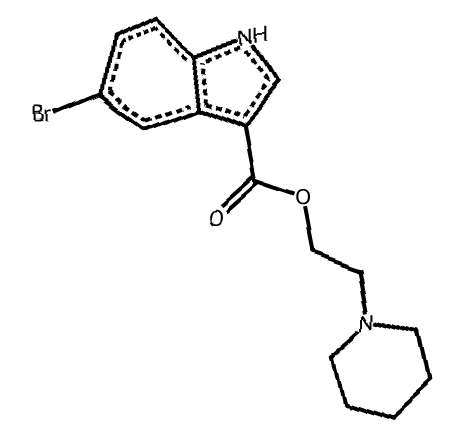 O=C(OCCN1CCCCC1)c1c[nH]c2ccc(Br)cc12